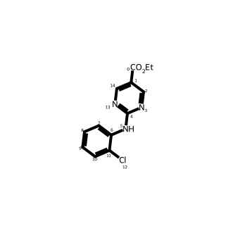 CCOC(=O)c1cnc(Nc2ccccc2Cl)nc1